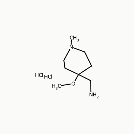 COC1(CN)CCN(C)CC1.Cl.Cl